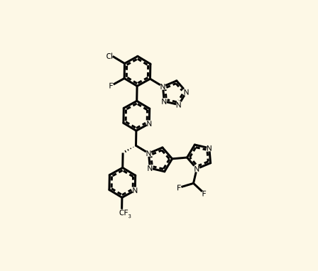 Fc1c(Cl)ccc(-n2cnnn2)c1-c1ccc([C@@H](Cc2ccc(C(F)(F)F)nc2)n2cc(-c3cncn3C(F)F)cn2)nc1